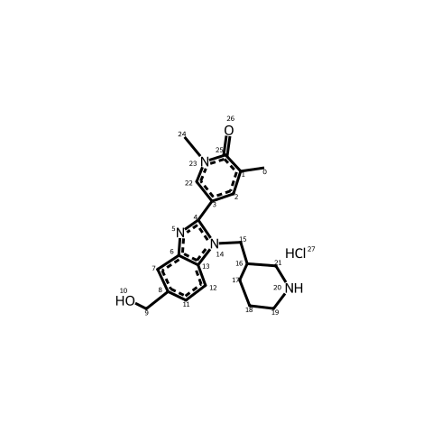 Cc1cc(-c2nc3cc(CO)ccc3n2CC2CCCNC2)cn(C)c1=O.Cl